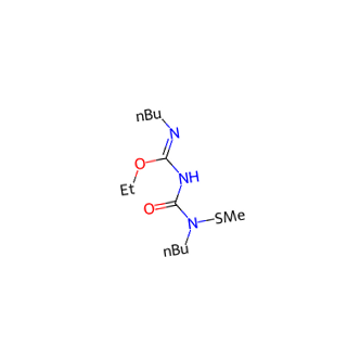 CCCCN=C(NC(=O)N(CCCC)SC)OCC